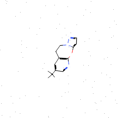 CC(C)(C)c1cnc2c(c1)CCn1nccc1O2